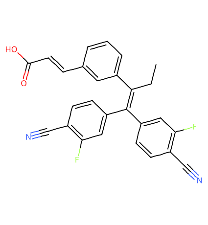 CCC(=C(c1ccc(C#N)c(F)c1)c1ccc(C#N)c(F)c1)c1cccc(/C=C/C(=O)O)c1